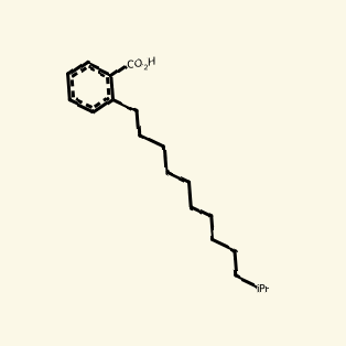 CC(C)CCCCCCCCCCc1ccccc1C(=O)O